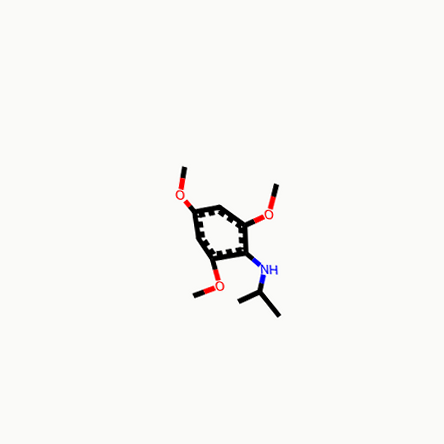 COc1cc(OC)c(NC(C)C)c(OC)c1